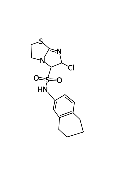 O=S(=O)(Nc1ccc2c(c1)CCCC2)C1C(Cl)N=C2SCCN21